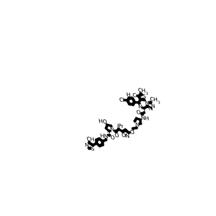 Cc1ncsc1-c1ccc(CNC(=O)[C@@H]2C[C@@H](O)CN2C(=O)C(c2cc(OCCN3CC[C@H](NC(=O)C[C@@H]4N=C(c5ccc(Cl)cc5)c5c(sc(C)c5C)-n5c(C)nnc54)C3)no2)C(C)C)cc1